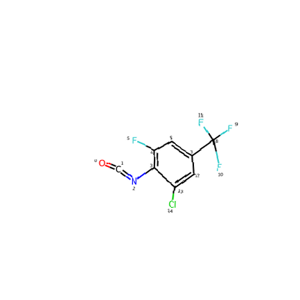 O=C=Nc1c(F)cc(C(F)(F)F)cc1Cl